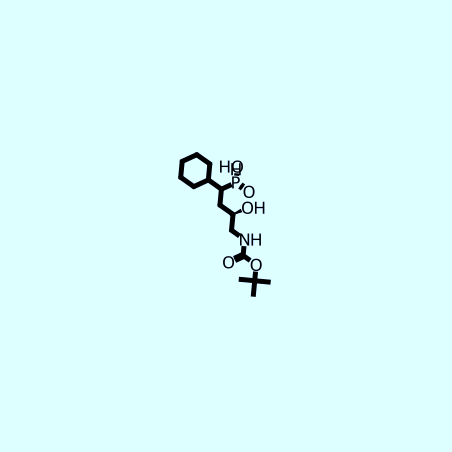 CC(C)(C)OC(=O)NC[C@H](O)CC(C1CCCCC1)[PH](=O)O